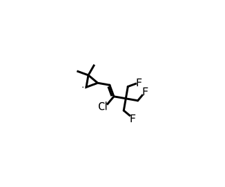 CC1(C)[CH]C1C=C(Cl)C(CF)(CF)CF